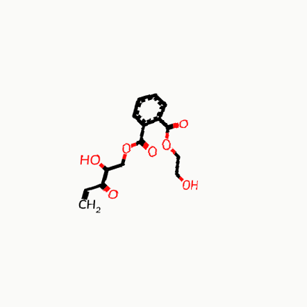 C=CC(=O)C(O)COC(=O)c1ccccc1C(=O)OCCO